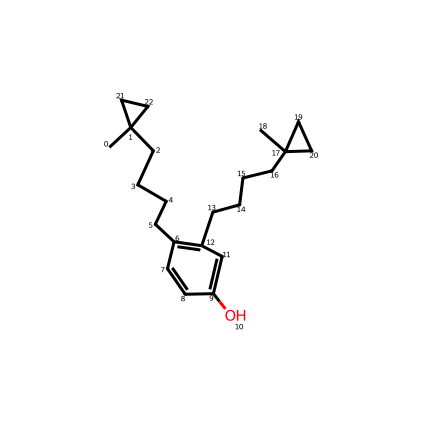 CC1(CCCCc2ccc(O)cc2CCCCC2(C)CC2)CC1